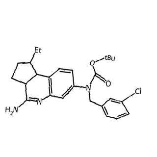 CCC1CCC2C(N)=Nc3cc(N(Cc4cccc(Cl)c4)C(=O)OC(C)(C)C)ccc3C12